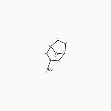 CC(C)(C)C1CC2CCC(C1)O2